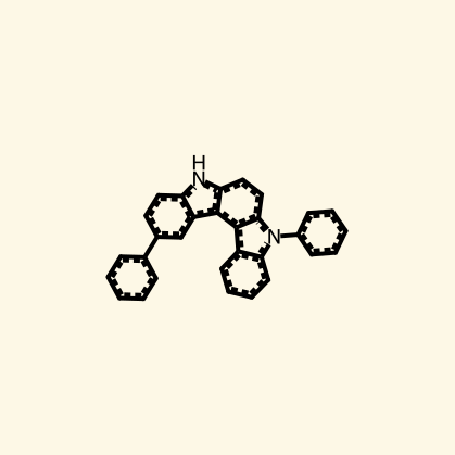 c1ccc(-c2ccc3[nH]c4ccc5c(c6ccccc6n5-c5ccccc5)c4c3c2)cc1